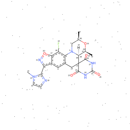 C[C@@H]1CN2c3c(cc4c(-c5nccn5C)noc4c3F)CC3(C(=O)NC(=O)NC3=O)[C@@H]2[C@H](C)O1